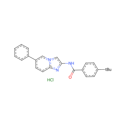 CC(C)(C)c1ccc(C(=O)Nc2cn3cc(-c4ccccc4)ccc3n2)cc1.Cl